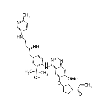 C=CC(=O)N1CCC(Oc2cc3c(Nc4ccc(CC(=N)CCNc5ccc(C)nc5)cc4C(C)(C)O)ncnc3cc2OC)C1